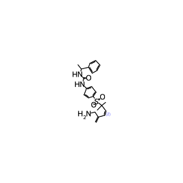 C=C(/C=C\C(C)(C)S(=O)(=O)c1ccc(NC(=O)NC(C)c2ccccc2)cc1)CN